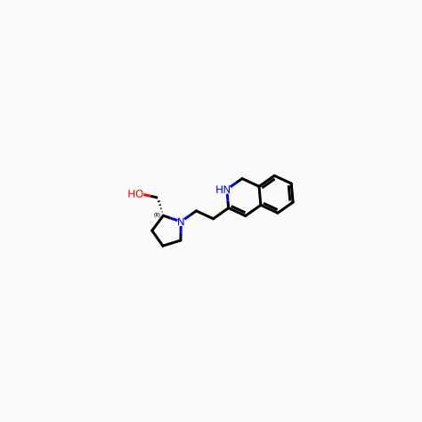 OC[C@H]1CCCN1CCC1=Cc2ccccc2CN1